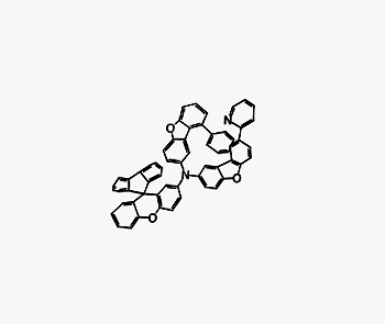 c1ccc(-c2cccc3oc4ccc(N(c5ccc6c(c5)C5(c7ccccc7O6)c6ccccc6-c6ccccc65)c5ccc6oc7ccc(-c8ccccn8)cc7c6c5)cc4c23)cc1